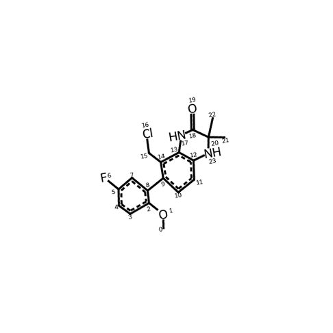 COc1ccc(F)cc1-c1ccc2c(c1CCl)NC(=O)C(C)(C)N2